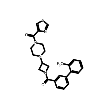 O=C(c1cccc(-c2ccccc2C(F)(F)F)c1)N1CC(N2CCN(C(=O)c3cscn3)CC2)C1